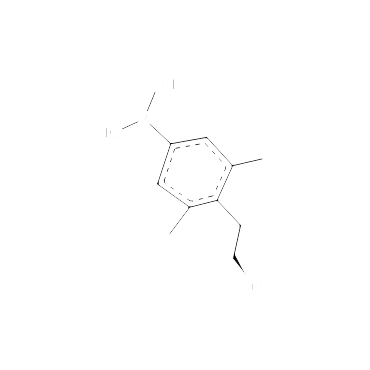 CC[C@H](C)CCc1c(C)cc(B(O)O)cc1C